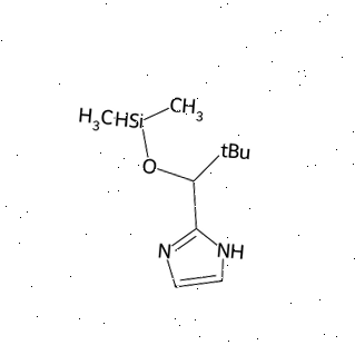 C[SiH](C)OC(c1ncc[nH]1)C(C)(C)C